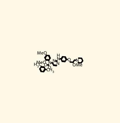 COc1ccc(N(C(=O)Oc2c(C)cccc2C)c2ccnc(Nc3ccc(OCC(CN4CCCCC4)OC)cc3)n2)c(OC)c1